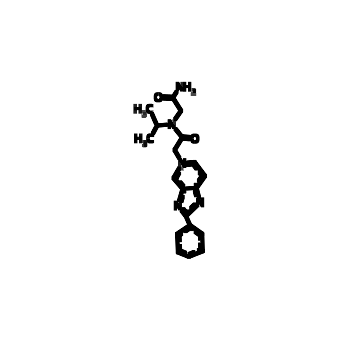 CC(C)N(CC(N)=O)C(=O)Cn1ccc2nc(-c3ccccc3)nc-2c1